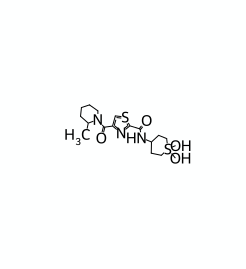 CC1CCCCN1C(=O)c1csc(C(=O)NC2CCS(O)(O)CC2)n1